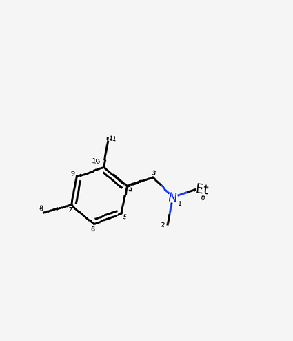 CCN(C)Cc1ccc(C)cc1C